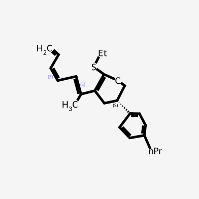 C=C/C=C\C=C(/C)C1=C(SCC)CC[C@H](c2ccc(CCC)cc2)C1